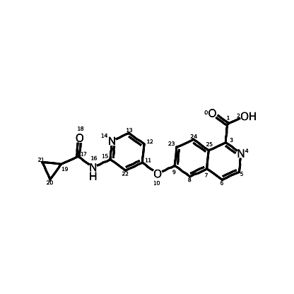 O=C(O)c1nccc2cc(Oc3ccnc(NC(=O)C4CC4)c3)ccc12